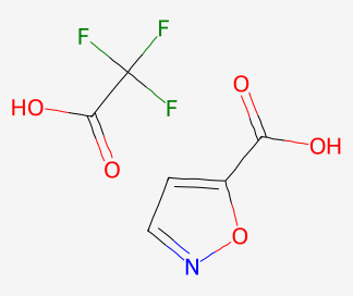 O=C(O)C(F)(F)F.O=C(O)c1ccno1